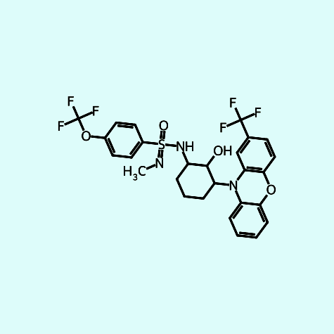 CN=S(=O)(NC1CCCC(N2c3ccccc3Oc3ccc(C(F)(F)F)cc32)C1O)c1ccc(OC(F)(F)F)cc1